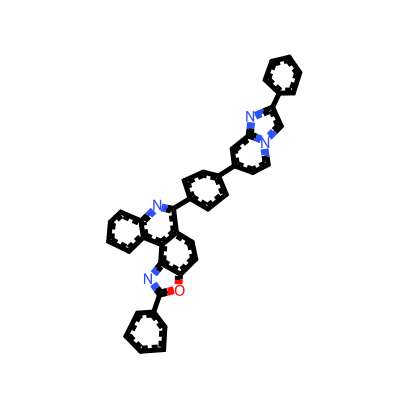 c1ccc(-c2cn3ccc(-c4ccc(-c5nc6ccccc6c6c5ccc5oc(-c7ccccc7)nc56)cc4)cc3n2)cc1